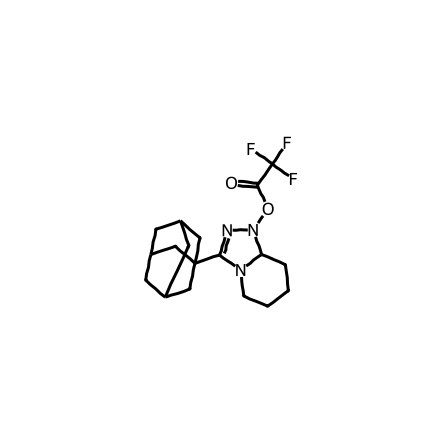 O=C(ON1N=C(C23CC4CC(CC(C4)C2)C3)N2CCCCC12)C(F)(F)F